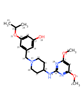 COc1cc(OC)nc(NC2CCN(Cc3cc(O)cc(OC(C)C)c3)CC2)n1